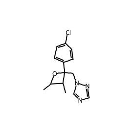 CC1OC(Cn2cncn2)(c2ccc(Cl)cc2)C1C